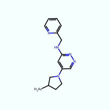 [AsH2]C1CCN(c2cnnc(NCc3ccccn3)c2)C1